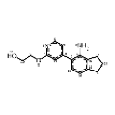 Nc1c(-c2ccnc(OCCO)c2)ccc2c1CCC2